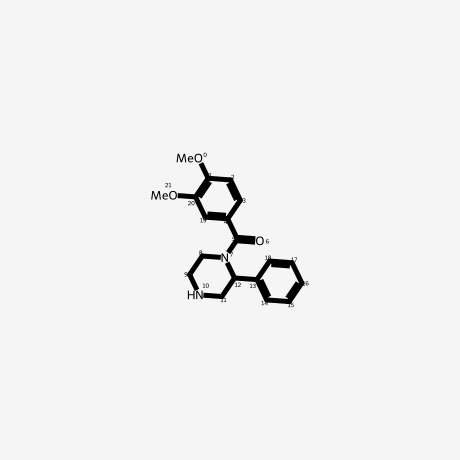 COc1ccc(C(=O)N2CCNCC2c2ccccc2)cc1OC